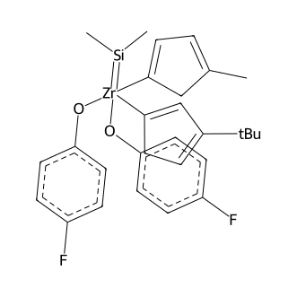 CC1=CC=[C]([Zr]([O]c2ccc(F)cc2)([O]c2ccc(F)cc2)([C]2=CC(C(C)(C)C)=CC2)=[Si](C)C)C1